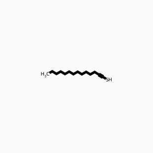 CCCCCCCCCCCCC#CS